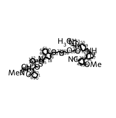 CN[C@@H](C)C(=O)NC(C(=O)N1CCC[C@H]1c1nc(-c2ccc(OCCOCCOCCOc3cc(Nc4cc(-c5cc(C#N)ccc5OC)ccn4)ccc3N3CCN(C)CC3)c3ccccc23)cs1)C1CCCCC1